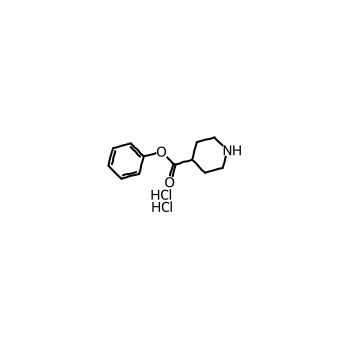 Cl.Cl.O=C(Oc1ccccc1)C1CCNCC1